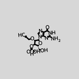 C#CCOC1C(O[PH](=O)O)[C@@H](CO)O[C@H]1n1cnc2c(=O)[nH]c(N)nc21